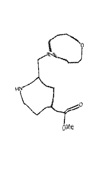 COC(=O)C1CCNC(CN2CCOCC2)C1